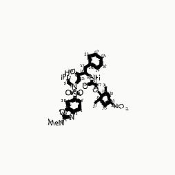 CNc1nc2ccc(S(=O)(=O)N(CC(C)C)CC(O)C(Cc3ccccc3)NC(=O)COc3c(C)cc([N+](=O)[O-])cc3C)cc2o1